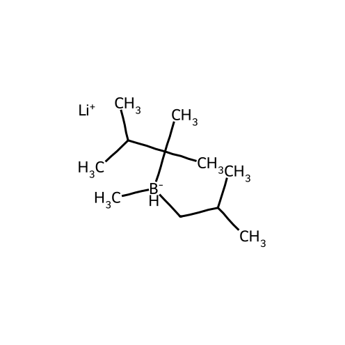 C[BH-](CC(C)C)C(C)(C)C(C)C.[Li+]